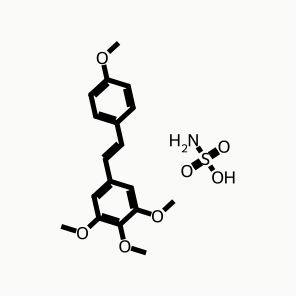 COc1ccc(/C=C/c2cc(OC)c(OC)c(OC)c2)cc1.NS(=O)(=O)O